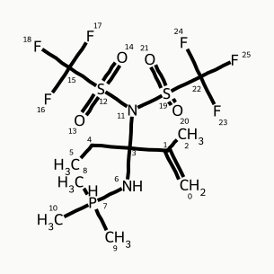 C=C(C)C(CC)(N[PH](C)(C)C)N(S(=O)(=O)C(F)(F)F)S(=O)(=O)C(F)(F)F